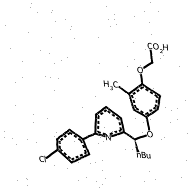 CCCC[C@H](Oc1ccc(OCC(=O)O)c(C)c1)c1cccc(-c2ccc(Cl)cc2)n1